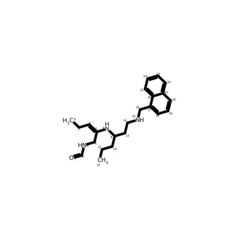 CC/C=C(\CNC=O)NC(CCC)CCNCc1cccc2ccccc12